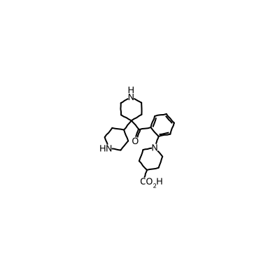 O=C(O)C1CCN(c2ccccc2C(=O)C2(C3CCNCC3)CCNCC2)CC1